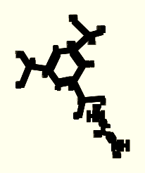 CC(C)c1cc(C(C)C)cc(C(C)C)c1.N=C=N